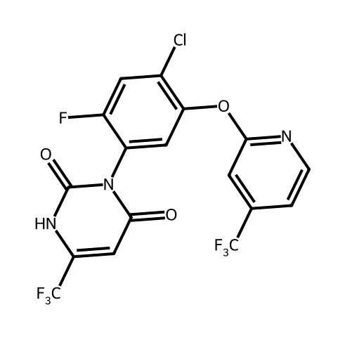 O=c1cc(C(F)(F)F)[nH]c(=O)n1-c1cc(Oc2cc(C(F)(F)F)ccn2)c(Cl)cc1F